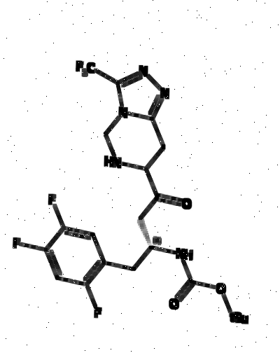 CC(C)(C)OC(=O)N[C@@H](CC(=O)C1Cc2nnc(C(F)(F)F)n2CN1)Cc1cc(F)c(F)cc1F